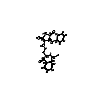 CN1CN(CCOC2C(=O)SC(=O)N2Cc2ccccc2)C(=O)c2ccccc21